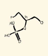 [O]C[C@H](CF)OP(=O)(O)O